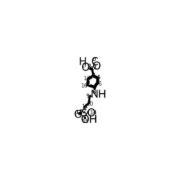 COC(=O)c1ccc(NCCCS(=O)(=O)O)cc1